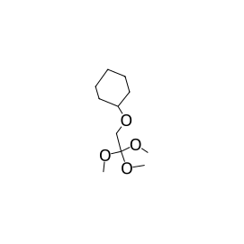 COC(COC1CCCCC1)(OC)OC